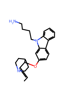 CC=C1C(Oc2ccc3c4ccccc4n(CCCCN)c3c2)C2CCN1CC2